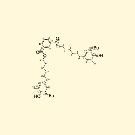 Cc1cc(CCCCCCOC(=O)c2cccc(C(=O)OCCCCCCc3cc(C)c(O)c(C(C)(C)C)c3)c2)cc(C(C)(C)C)c1O